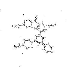 CCOC(=O)N1CCN(C(=O)[C@H](CCC(=O)O)NC(=O)c2cc(N3CCC(OC)CC3)nc(-c3ccccc3)n2)CC1